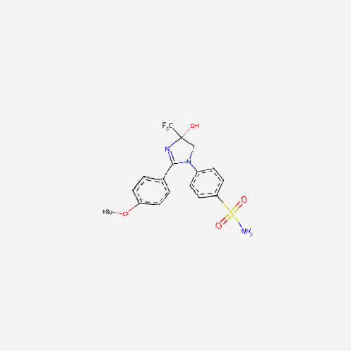 CCCCOc1ccc(C2=NC(O)(C(F)(F)F)CN2c2ccc(S(N)(=O)=O)cc2)cc1